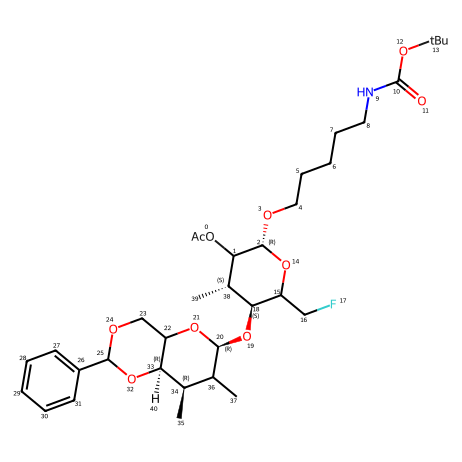 CC(=O)OC1[C@H](OCCCCCNC(=O)OC(C)(C)C)OC(CF)[C@@H](O[C@@H]2OC3COC(c4ccccc4)O[C@@H]3[C@H](C)C2C)[C@@H]1C